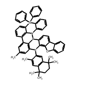 Cc1cc2c3c(c1)N(c1cc4c(cc1C)C(C)(C)CCC4(C)C)c1c(ccc4c1oc1ccccc14)B3N1c3ccccc3[Si](c3ccccc3)(c3ccccc3)c3cccc-2c31